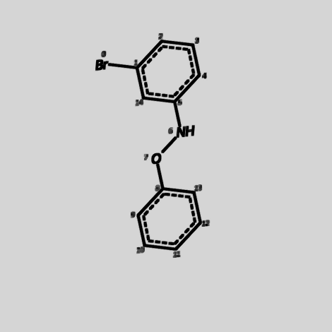 Brc1cccc(NOc2ccccc2)c1